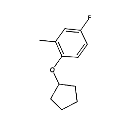 Cc1cc(F)ccc1OC1CCCC1